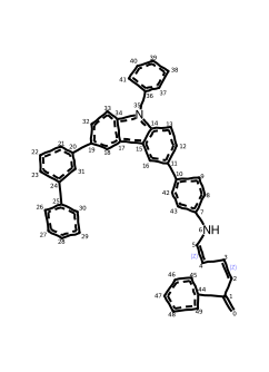 C=C(/C=C\C=C/Nc1ccc(-c2ccc3c(c2)c2cc(-c4cccc(-c5ccccc5)c4)ccc2n3-c2ccccc2)cc1)c1ccccc1